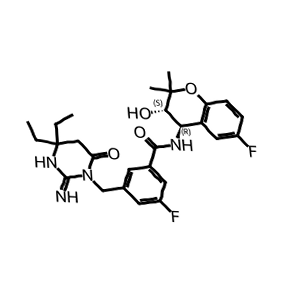 CCC1(CC)CC(=O)N(Cc2cc(F)cc(C(=O)N[C@@H]3c4cc(F)ccc4OC(C)(C)[C@H]3O)c2)C(=N)N1